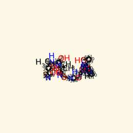 CC(C)[C@H](C(=O)N1C[C@H](O)C[C@H]1C(=O)N[C@@H](C)c1ccc(-c2scnc2CO)cc1)c1cc(OCCN2CCC(OC3CC(Oc4cc(N5C6CC[C@@H]5CN(c5cc(-c7ccccc7O)nnc5N)C6)ccn4)C3)CC2)no1